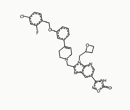 O=c1[nH]c(-c2cnc3c(c2)nc(CN2CC=C(c4cccc(OCc5ccc(Cl)cc5F)c4)CC2)n3CC2CCO2)no1